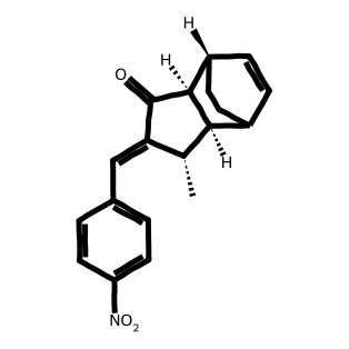 C[C@@H]1/C(=C\c2ccc([N+](=O)[O-])cc2)C(=O)[C@@H]2[C@H]1C1C=C[C@@H]2CC1